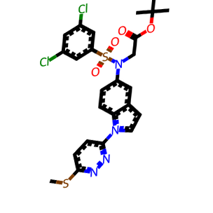 CSc1ccc(-n2ccc3cc(N(CC(=O)OC(C)(C)C)S(=O)(=O)c4cc(Cl)cc(Cl)c4)ccc32)nn1